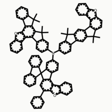 CC1(C)c2cc(N(c3ccc4c(c3)C(C)(C)c3c5c(c6oc7ccccc7c6c3-4)-c3ccccc3C5(C)C)c3ccc4c(c3)C3(c5ccccc5-c5ccccc53)c3cc(-c5ccccc5)c5oc6ccccc6c5c3-4)ccc2-c2cc3c(cc21)-c1c(ccc2oc4ccccc4c12)C3(C)C